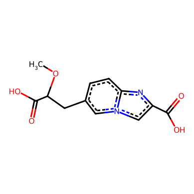 COC(Cc1ccc2nc(C(=O)O)cn2c1)C(=O)O